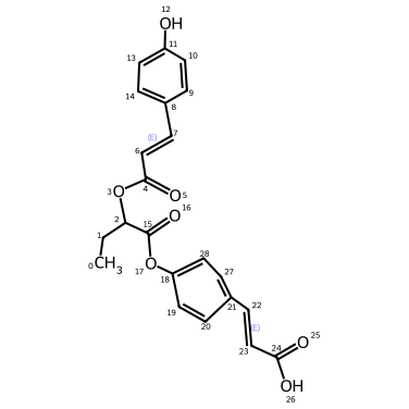 CCC(OC(=O)/C=C/c1ccc(O)cc1)C(=O)Oc1ccc(/C=C/C(=O)O)cc1